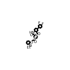 CCOc1ccccc1OCC(=O)N1CCN2C(=O)c3cc(-c4ccc(F)c(F)c4)ccc3NC(=O)C2C1